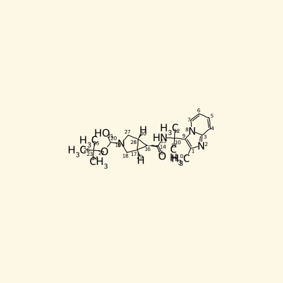 Cc1nc2ccccn2c1C(C)(C)NC(=O)[C@H]1[C@@H]2CN(C(O)OC(C)(C)C)C[C@@H]21